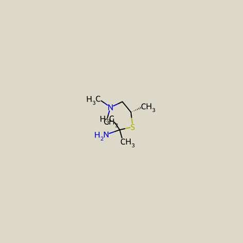 C[C@@H](CN(C)C)SC(C)(C)N